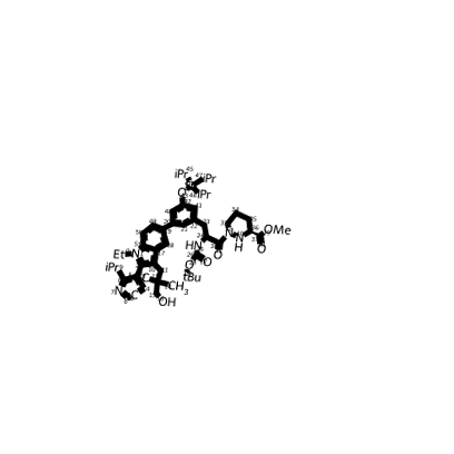 CCn1c(-c2cccnc2C(C)C)c(CC(C)(C)CO)c2cc(-c3cc(CC(NC(=O)OC(C)(C)C)C(=O)N4CCC[C@@H](C(=O)OC)N4)cc(O[Si](C(C)C)(C(C)C)C(C)C)c3)ccc21